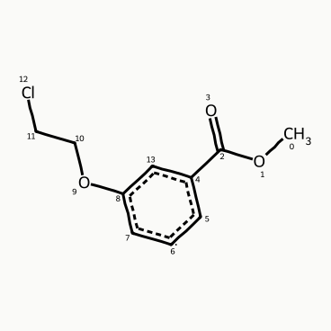 COC(=O)c1c[c]cc(OCCCl)c1